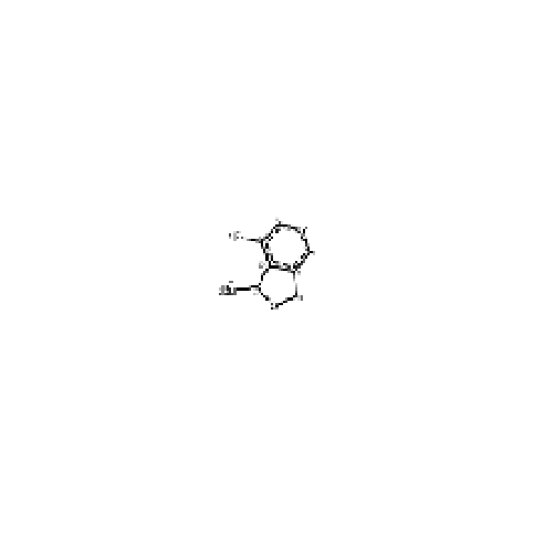 CC(C)(C)C1OCc2cccc(F)c21